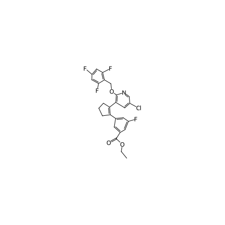 CCOC(=O)c1cc(F)cc(C2=C(c3cc(Cl)cnc3OCc3c(F)cc(F)cc3F)CCC2)c1